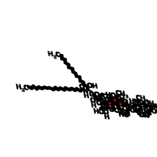 CCCCCCCCCCCCC/C=C/[C@@H](O)[C@H](CO[C@@H]1OC(CO)[C@@H](O[C@@H]2OC(CO)[C@H](O)[C@H](O[C@@H]3OC(CO)[C@@H](O[C@@H]4OC(CO)[C@H](O)[C@H](O[C@H]5OC(CO)[C@H](O)[C@H](O[C@@H]6OC(CO)[C@H](O)[C@H](O)C6O)C5NC(C)=O)C4O[C@H]4OC(C)[C@@H](O)C(O)[C@@H]4O)[C@H](O)C3NC(C)=O)C2O)[C@H](O)C1O)NC(=O)CCCCCCCCCCCCCCCCCCCCC